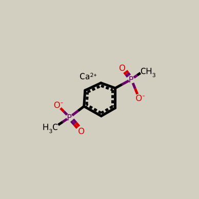 CP(=O)([O-])c1ccc(P(C)(=O)[O-])cc1.[Ca+2]